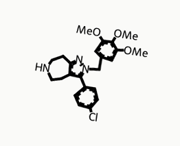 COc1cc(Cn2nc3c(c2-c2ccc(Cl)cc2)CCNCC3)cc(OC)c1OC